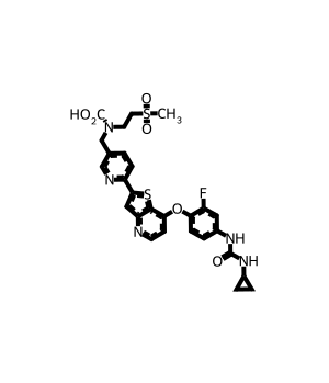 CS(=O)(=O)CCN(Cc1ccc(-c2cc3nccc(Oc4ccc(NC(=O)NC5CC5)cc4F)c3s2)nc1)C(=O)O